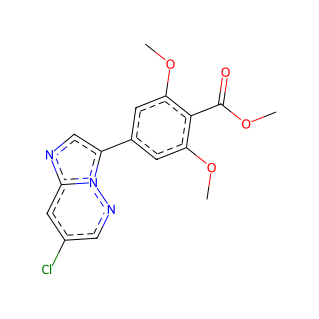 COC(=O)c1c(OC)cc(-c2cnc3cc(Cl)cnn23)cc1OC